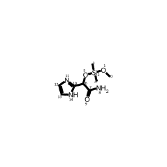 CO[Si](C)(C)OC(C(N)=O)c1ncc[nH]1